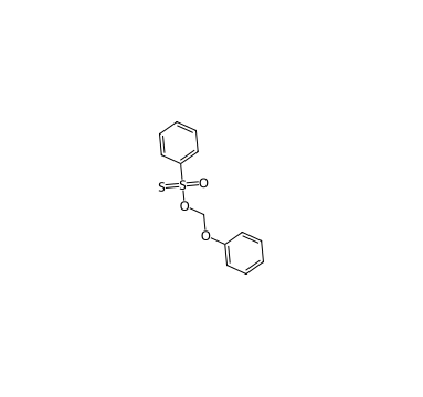 O=S(=S)(OCOc1ccccc1)c1ccccc1